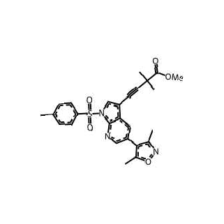 COC(=O)C(C)(C)C#Cc1cn(S(=O)(=O)c2ccc(C)cc2)c2ncc(-c3c(C)noc3C)cc12